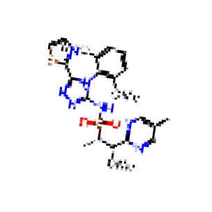 COc1cccc(OC)c1-n1c(NS(=O)(=O)[C@@H](C)[C@H](OC)c2ncc(C)cn2)nnc1-c1nccs1